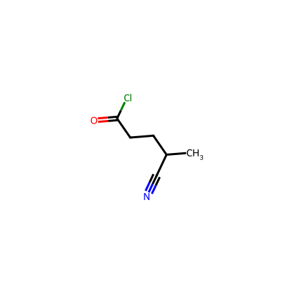 CC(C#N)CCC(=O)Cl